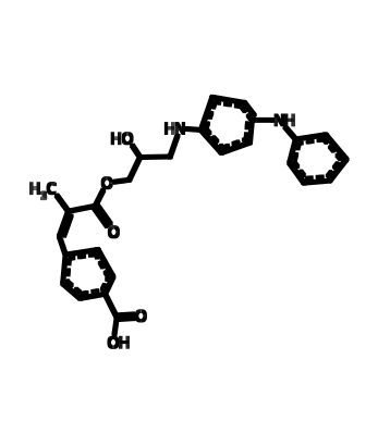 CC(=Cc1ccc(C(=O)O)cc1)C(=O)OCC(O)CNc1ccc(Nc2ccccc2)cc1